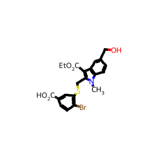 CCOC(=O)c1c(CSc2cc(C(=O)O)ccc2Br)n(C)c2ccc(CO)cc12